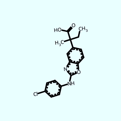 CCC(C)(C(=O)O)c1ccc2oc(Nc3ccc(Cl)cc3)nc2c1